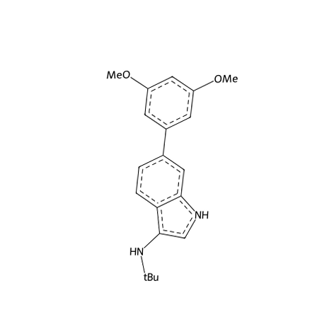 COc1cc(OC)cc(-c2ccc3c(NC(C)(C)C)c[nH]c3c2)c1